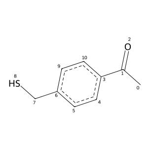 CC(=O)c1ccc(CS)cc1